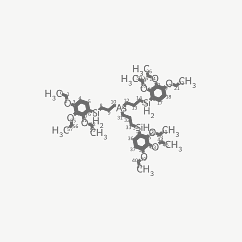 CCOc1ccc([SiH2]CCC[As](CCC[SiH2]c2ccc(OCC)c(OCC)c2OCC)CCC[SiH2]c2ccc(OCC)c(OCC)c2OCC)c(OCC)c1OCC